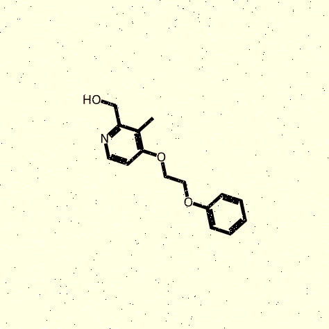 Cc1c(OCCOc2ccccc2)ccnc1CO